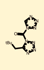 CC(C)(C)Cc1nnnn1C(=O)n1cnnn1